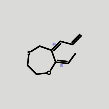 C=C/C=C1/CSCCO/C1=C/C